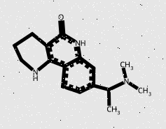 CC(c1ccc2c3c(c(=O)[nH]c2c1)CCCN3)N(C)C